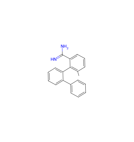 Cc1cccc(C(=N)N)c1-c1ccccc1-c1ccccc1